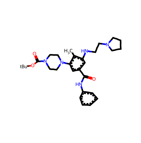 Cc1c(NCCN2CCCC2)cc(C(=O)Nc2ccccc2)cc1N1CCN(C(=O)OC(C)(C)C)CC1